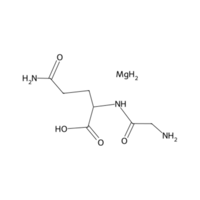 NCC(=O)NC(CCC(N)=O)C(=O)O.[MgH2]